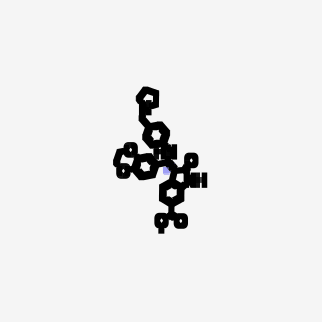 COC(=O)c1ccc2c(c1)NC(=O)/C2=C(\Nc1ccc(CN2CCCC2)cc1)c1ccc2c(c1)OCCO2